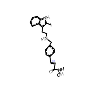 O=C(/C=C/c1ccc(CNCCc2c(I)[nH]c3ccccc23)cc1)NO